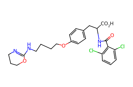 O=C(NC(Cc1ccc(OCCCCNC2=NCCCO2)cc1)C(=O)O)c1c(Cl)cccc1Cl